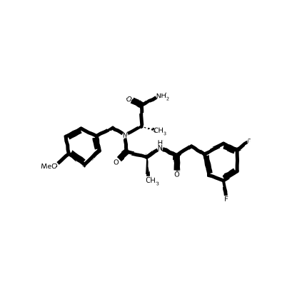 COc1ccc(CN(C(=O)[C@H](C)NC(=O)Cc2cc(F)cc(F)c2)[C@@H](C)C(N)=O)cc1